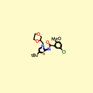 COc1ccc(Cl)cc1C(=O)N=c1sc(C(C)(C)C)cn1CC1COCCO1